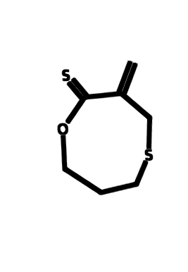 C=C1CSCCCOC1=S